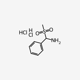 CS(=O)(=O)C(N)c1ccccc1.Cl.Cl